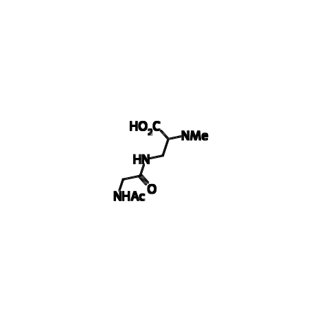 CNC(CNC(=O)CNC(C)=O)C(=O)O